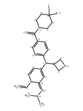 C=Cn1ccc(N(c2ccc(C(=O)N3CCC(F)(F)CC3)cn2)C2COC2)c/c1=N/N(C)C